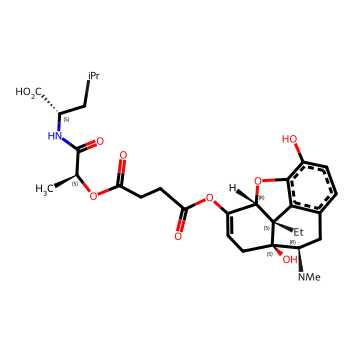 CC[C@]12c3c4ccc(O)c3O[C@H]1C(OC(=O)CCC(=O)O[C@@H](C)C(=O)N[C@@H](CC(C)C)C(=O)O)=CC[C@@]2(O)[C@H](NC)C4